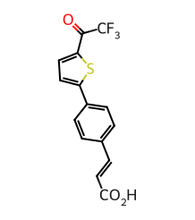 O=C(O)C=Cc1ccc(-c2ccc(C(=O)C(F)(F)F)s2)cc1